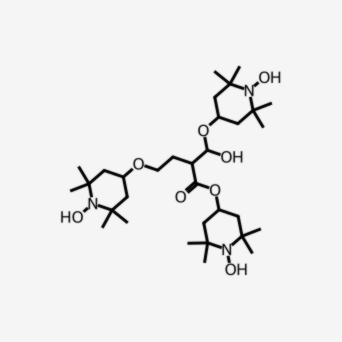 CC1(C)CC(OCCC(C(=O)OC2CC(C)(C)N(O)C(C)(C)C2)C(O)OC2CC(C)(C)N(O)C(C)(C)C2)CC(C)(C)N1O